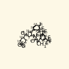 CN(C(=O)N(C)[C@@H]1CN(C(=O)C2CCS(=O)(=O)CC2)C[C@H]1c1ccc(F)cc1)c1cc(C(F)(F)F)cc(C(F)(F)F)c1